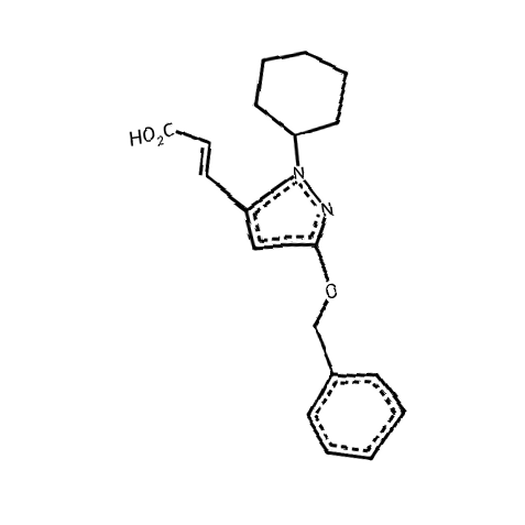 O=C(O)C=Cc1cc(OCc2ccccc2)nn1C1CCCCC1